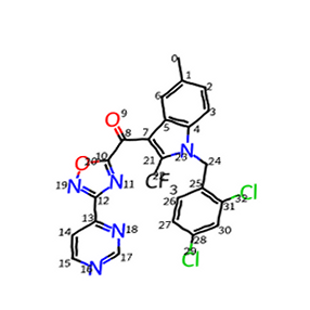 Cc1ccc2c(c1)c(C(=O)c1nc(-c3ccncn3)no1)c(C(F)(F)F)n2Cc1ccc(Cl)cc1Cl